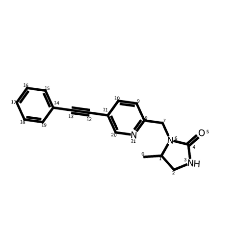 CC1CNC(=O)N1Cc1ccc(C#Cc2ccccc2)cn1